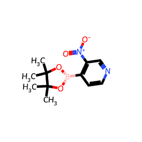 CC1(C)OB(c2ccncc2[N+](=O)[O-])OC1(C)C